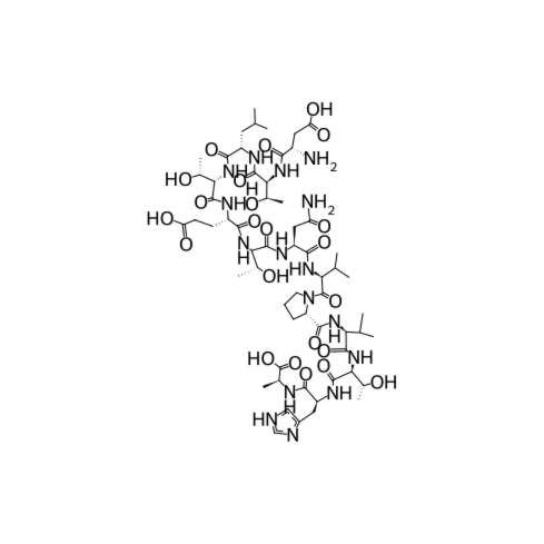 CC(C)C[C@H](NC(=O)[C@@H](NC(=O)[C@@H](N)CC(=O)O)[C@@H](C)O)C(=O)N[C@H](C(=O)N[C@@H](CCC(=O)O)C(=O)N[C@H](C(=O)N[C@@H](CC(N)=O)C(=O)N[C@H](C(=O)N1CCC[C@H]1C(=O)N[C@H](C(=O)N[C@H](C(=O)N[C@@H](Cc1c[nH]cn1)C(=O)N[C@@H](C)C(=O)O)[C@@H](C)O)C(C)C)C(C)C)[C@@H](C)O)[C@@H](C)O